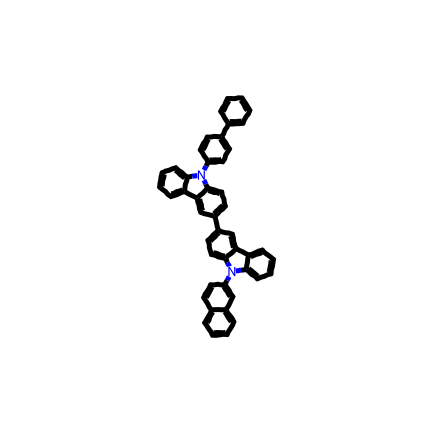 c1ccc(-c2ccc(-n3c4ccccc4c4cc(-c5ccc6c(c5)c5ccccc5n6-c5ccc6ccccc6c5)ccc43)cc2)cc1